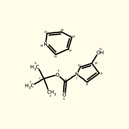 CC(C)(C)OC(=O)n1ccc(O)c1.c1ccncc1